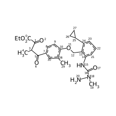 CCOC(=O)C(=O)C(C)C(=O)c1ccc(OCc2c(NC(=O)N(C)N)cccc2C2CC2)c(C)c1